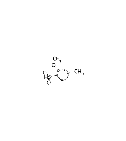 Cc1ccc([SH](=O)=O)c(OC(F)(F)F)c1